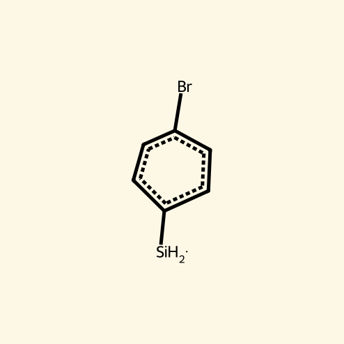 [SiH2]c1ccc(Br)cc1